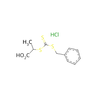 CC(SC(=S)SCc1ccccc1)C(=O)O.Cl